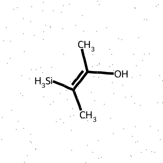 CC(O)=C(C)[SiH3]